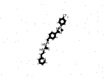 FC(F)(F)c1ccc(-n2cnc(-c3ccc(/C=N/NC(=S)NCCc4ccccn4)cc3)n2)cc1